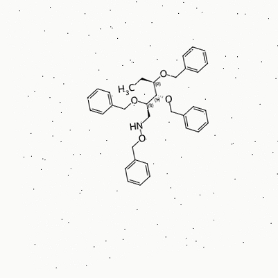 CC[C@@H](OCc1ccccc1)[C@H](OCc1ccccc1)[C@@H](CNOCc1ccccc1)OCc1ccccc1